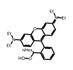 CCCCCCC(OO)c1ccccc1-c1c2ccc(=[N+](CC)CC)cc-2oc2cc(N(CC)CC)ccc12